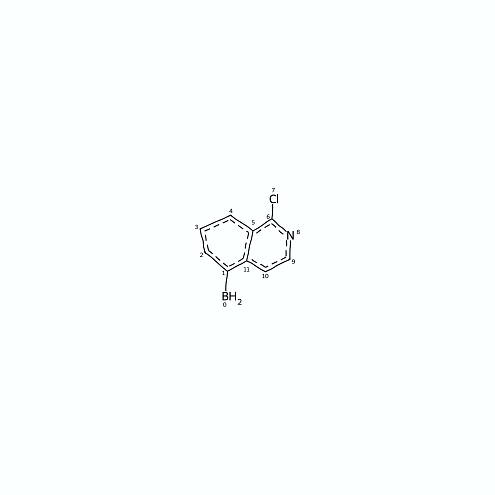 Bc1cccc2c(Cl)nccc12